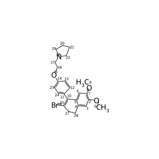 COc1cc2c(cc1OC)C(c1ccc(OCCN3CCCC3)cc1)=C(Br)CC2